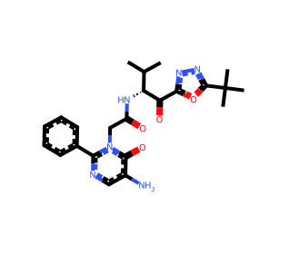 CC(C)[C@@H](NC(=O)Cn1c(-c2ccccc2)ncc(N)c1=O)C(=O)c1nnc(C(C)(C)C)o1